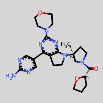 C[C@]1(N2CCc3c(-c4cnc(N)nc4)nc(N4CCOCC4)nc32)CCN(C(=O)[C@@H]2CCCO2)C1